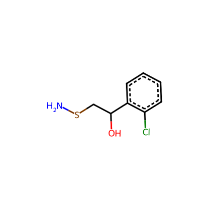 NSCC(O)c1ccccc1Cl